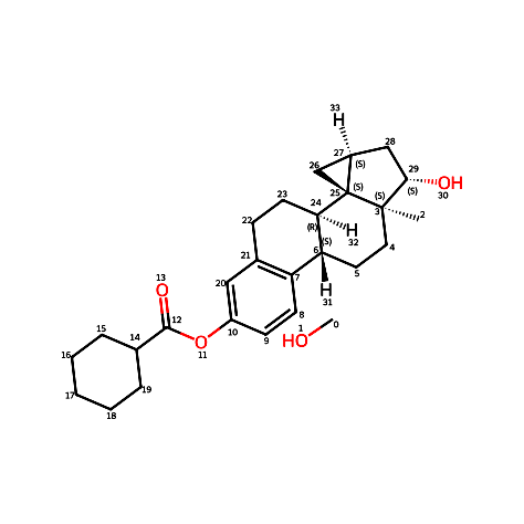 CO.C[C@]12CC[C@@H]3c4ccc(OC(=O)C5CCCCC5)cc4CC[C@H]3[C@@]13C[C@H]3C[C@@H]2O